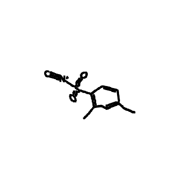 [C-]#[N+]S(=O)(=O)c1ccc(C)cc1C